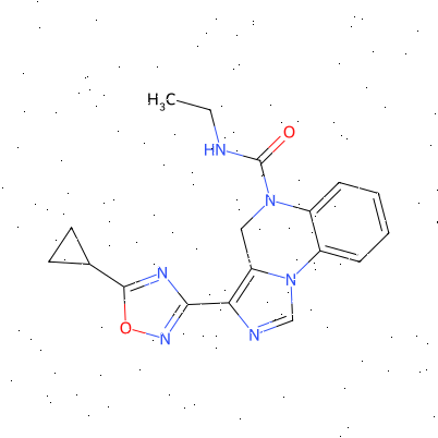 CCNC(=O)N1Cc2c(-c3noc(C4CC4)n3)ncn2-c2ccccc21